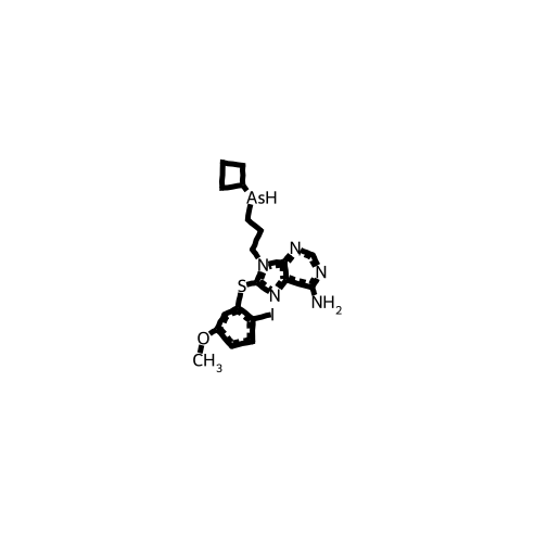 COc1ccc(I)c(Sc2nc3c(N)ncnc3n2CCC[AsH]C2CCC2)c1